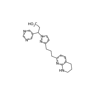 O=C(O)CC(c1cncnc1)n1ccc(CCCc2ccc3c(n2)NCCC3)n1